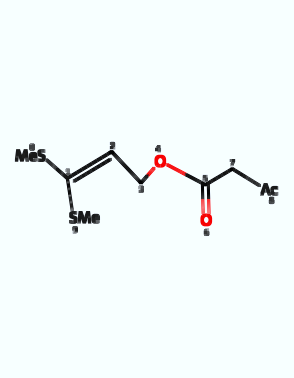 CSC(=CCOC(=O)CC(C)=O)SC